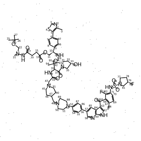 Cc1ncsc1-c1ccc([C@H](COC(=O)CCC(=O)NN(C)COC(C)(C)C)NC(=O)[C@@H]2C[C@@H](O)CN2C(=O)C(NC(=O)CN2CCC(CN3CCN(c4ccc(-c5cnc6[nH]cc(C(=O)c7c(F)ccc(NS(=O)(=O)N8CC[C@@H](F)C8)c7F)c6c5)cc4)CC3)CC2)C(C)(C)C)cc1